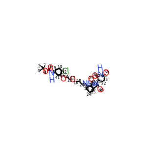 CC(C)(C)OC(=O)Nc1ccc(Cl)c(OCCOCCCNc2cccc3c2C(=O)N(C2CCC(=O)NC2=O)C3=O)c1